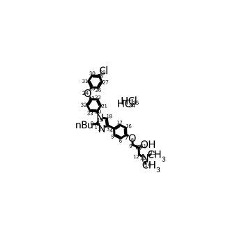 CCCCc1nc(-c2ccc(OC[C@@H](O)CN(C)C)cc2)cn1-c1ccc(Oc2ccc(Cl)cc2)cc1.Cl.Cl